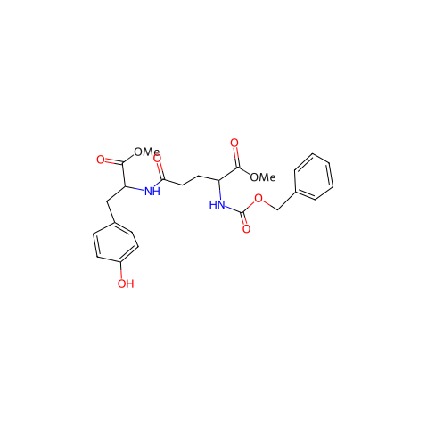 COC(=O)C(Cc1ccc(O)cc1)NC(=O)CCC(NC(=O)OCc1ccccc1)C(=O)OC